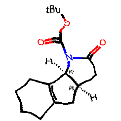 CC(C)(C)OC(=O)N1C(=O)C[C@H]2CC3=C(CCCC3)[C@H]21